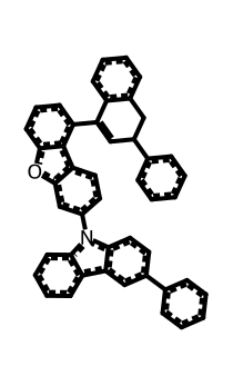 C1=C(c2cccc3oc4cc(-n5c6ccccc6c6cc(-c7ccccc7)ccc65)ccc4c23)c2ccccc2CC1c1ccccc1